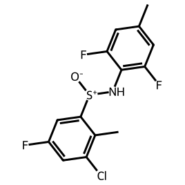 Cc1cc(F)c(N[S+]([O-])c2cc(F)cc(Cl)c2C)c(F)c1